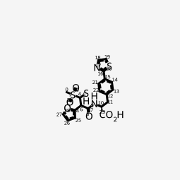 CS(=O)(=O)C(S)C(C(=O)N[C@@H](Cc1ccc(-c2nccs2)cc1)C(=O)O)c1ccco1